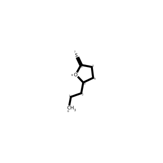 CCCC1CCC(=S)O1